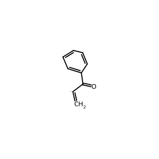 C=[C]C(=O)c1ccccc1